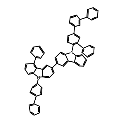 c1ccc(-c2ccc(-n3c4ccc(-c5ccc6c(c5)c5ccccc5n6-c5ccc(-c6cccc(-c7ccccc7)c6)cc5-c5ccccc5)cc4c4c(-c5ccccc5)cccc43)cc2)cc1